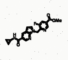 COC(=O)c1cnc(Cn2ccc3cc(C(=O)NC4CC4)cnc32)c(F)c1